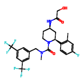 Cc1cc(F)ccc1[C@@H]1C[C@H](NC(=O)CO)CCN1C(=O)N(C)Cc1cc(C(F)(F)F)cc(C(F)(F)F)c1